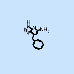 Nc1cc(CC2=C/C=C\C=C/C=C\2)c2nn[nH]c2n1